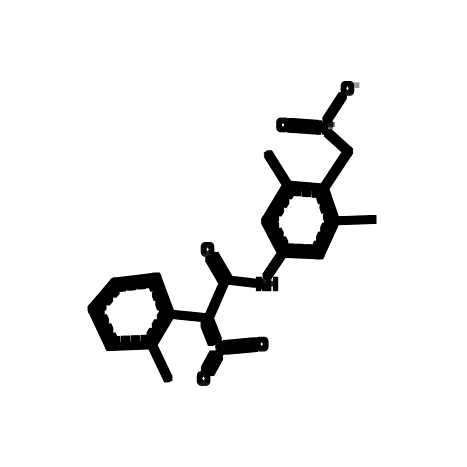 Cc1ccccc1C(C(=O)Nc1cc(C)c(C[N+](=O)[O-])c(C)c1)=S(=O)=O